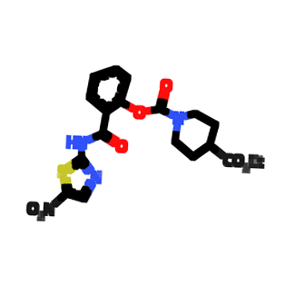 CCOC(=O)C1CCN(C(=O)Oc2ccccc2C(=O)Nc2ncc([N+](=O)[O-])s2)CC1